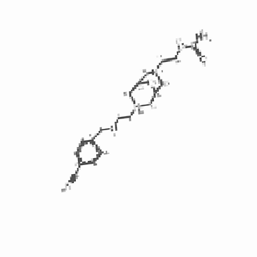 N#Cc1ccc(COCCN2CC3CN(CCOC(N)=O)CC(C2)O3)cc1